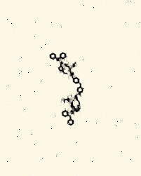 CCC(=O)N[C@H]1CN(C(=O)Nc2ccc(Cc3ccc(NC(=O)N4CC[C@H]5CC[C@@H](C(=O)NC(c6ccccc6)c6ccccc6)N5C(=O)[C@@H](NC(=O)[C@H](C)NC)C4)cc3)cc2)CC[C@H]2CCC(C(=O)NC(c3ccccc3)c3ccccc3)N2C1=O